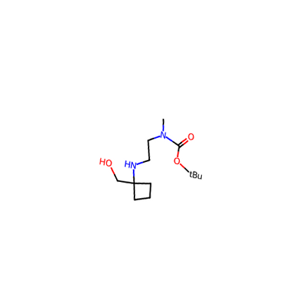 CN(CCNC1(CO)CCC1)C(=O)OC(C)(C)C